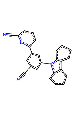 N#Cc1cc(-c2cccc(C#N)n2)cc(-n2c3ccccc3c3ccccc32)c1